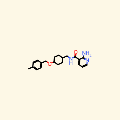 Cc1ccc(COC2CCC(CNC(=O)c3cccnc3N)CC2)cc1